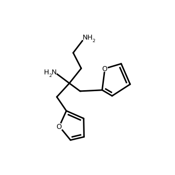 NCCC(N)(Cc1ccco1)Cc1ccco1